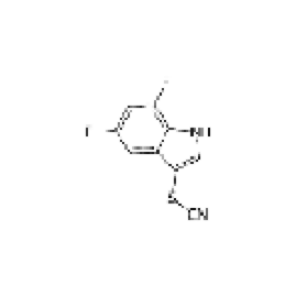 N#CSc1c[nH]c2c(F)cc(F)cc12